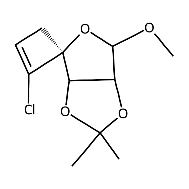 COC1O[C@@]2(CC=C2Cl)C2OC(C)(C)OC12